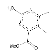 Bc1nc(C)c(C)c(C(=O)OC)n1